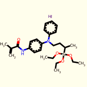 C=C(C)C(=O)Nc1ccc(N(CCC(C)[Si](OCC)(OCC)OCC)c2ccccc2)cc1.I